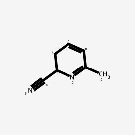 CC1=NC(C#N)CC=C1